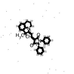 CC1(C)/C(=C\C=C2C(=O)N(c3ccccc3)N(c3ccccc3)C2=O)N2CCCc3cccc1c32